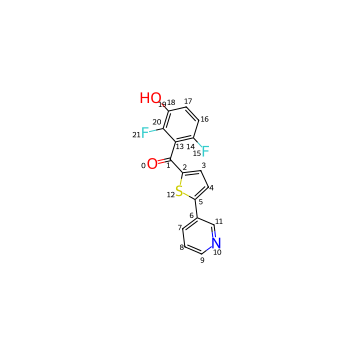 O=C(c1ccc(-c2cccnc2)s1)c1c(F)ccc(O)c1F